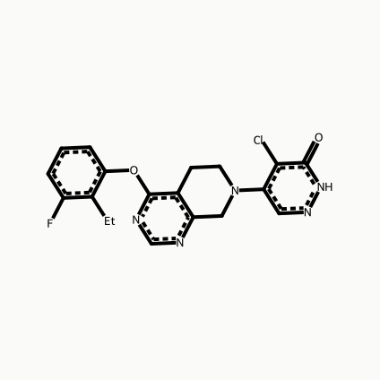 CCc1c(F)cccc1Oc1ncnc2c1CCN(c1cn[nH]c(=O)c1Cl)C2